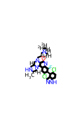 [2H]C1[C@@H](C)NC[C@@H]2CN3C[C@@H](CN(C([2H])([2H])[2H])C([2H])([2H])[2H])Oc4nc5c(F)c(-c6c(Cl)ccc7[nH]ncc67)c(Cl)cc5c(c43)N12